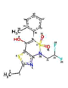 CCc1nc2c(s1)C(O)=C(c1ccccc1C)S(=O)(=O)N2CC(F)F